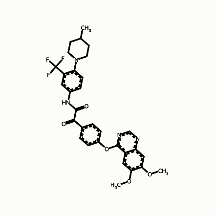 COc1cc2ncnc(Oc3ccc(C(=O)C(=O)Nc4ccc(N5CCC(C)CC5)c(C(F)(F)F)c4)cc3)c2cc1OC